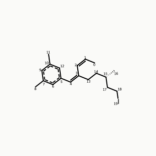 C/C=C\C(=C/c1cc(C)cc(C)c1)CC[C@H](C)CCI